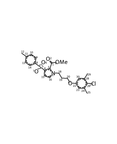 COC(=O)c1c(S(=O)(=O)c2ccc(C)cc2)ccn1CCCOc1cc(C)c(Cl)c(C)c1